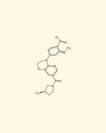 C/N=c1/cc(N2CCOc3cc(C(=O)N4CC[C@@H](C)C4)cnc32)ccn1C(=O)C(C)C